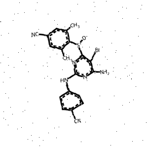 Cc1cc(C#N)cc(C)c1[S+]([O-])c1nc(Nc2ccc(C#N)cc2)nc(N)c1Br